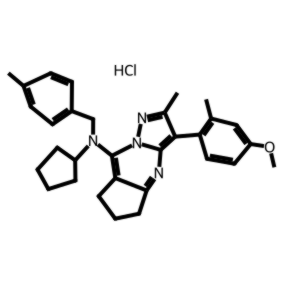 COc1ccc(-c2c(C)nn3c(N(Cc4ccc(C)cc4)C4CCCC4)c4c(nc23)CCC4)c(C)c1.Cl